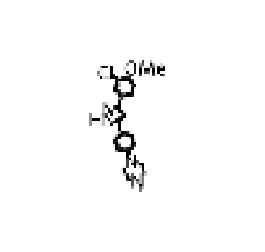 COc1ccc(-c2cc(-c3ccc(N4CCN(C)CC4)cc3)[nH]n2)cc1Cl